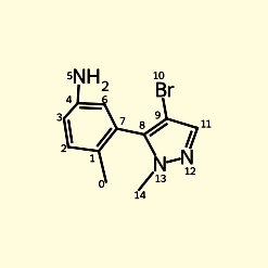 Cc1ccc(N)cc1-c1c(Br)cnn1C